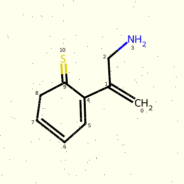 C=C(CN)C1=CC=CCC1=S